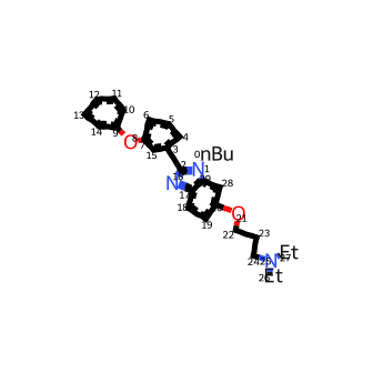 CCCCn1c(-c2cccc(Oc3ccccc3)c2)nc2ccc(OCCCN(CC)CC)cc21